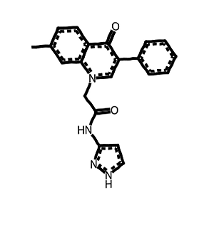 Cc1ccc2c(=O)c(-c3ccccc3)cn(CC(=O)Nc3cc[nH]n3)c2c1